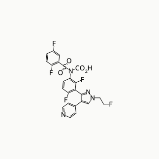 O=C(O)N(c1ccc(F)c(-c2nn(CCF)cc2-c2ccncc2)c1F)S(=O)(=O)c1cc(F)ccc1F